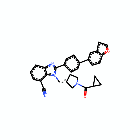 N#Cc1cccc2nc(-c3ccc(-c4ccc5occc5c4)cc3)n(C[C@@H]3CCN(C(=O)C4CC4)C3)c12